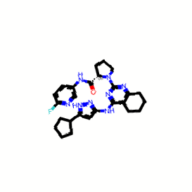 O=C(Nc1ccc(F)nc1)[C@@H]1CCCN1c1nc2c(c(Nc3cc(C4CCCC4)[nH]n3)n1)CCCC2